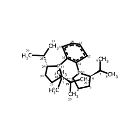 CC(C)[C@H]1CC[C@H](C(C)C)P1c1ccccc1P1[C@@H](C(C)C)CC[C@@H]1C(C)C